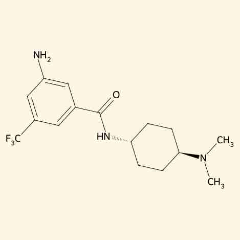 CN(C)[C@H]1CC[C@H](NC(=O)c2cc(N)cc(C(F)(F)F)c2)CC1